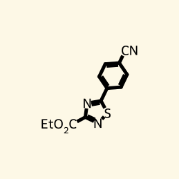 CCOC(=O)c1nsc(-c2ccc(C#N)cc2)n1